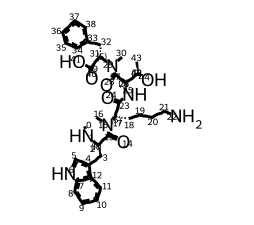 CN[C@H](Cc1c[nH]c2ccccc12)C(=O)N(C)[C@@H](CCCCN)C(=O)N[C@H](C(=O)N(C)[C@@H](Cc1ccccc1)C(=O)O)[C@@H](C)O